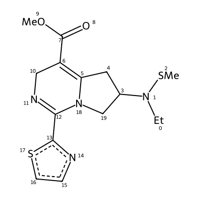 CCN(SC)C1CC2=C(C(=O)OC)CN=C(c3nccs3)N2C1